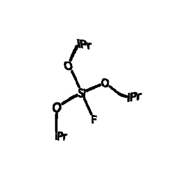 CC(C)O[Si](F)(OC(C)C)OC(C)C